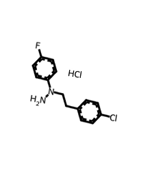 Cl.NN(CCc1ccc(Cl)cc1)c1ccc(F)cc1